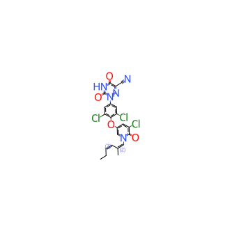 CC/C=C\C(C)=C/n1cc(Oc2c(Cl)cc(-n3nc(C#N)c(=O)[nH]c3=O)cc2Cl)cc(Cl)c1=O